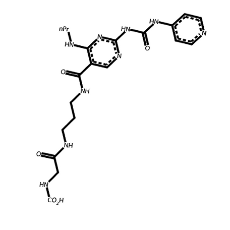 CCCNc1nc(NC(=O)Nc2ccncc2)ncc1C(=O)NCCCNC(=O)CNC(=O)O